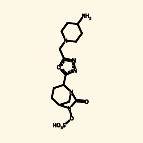 NC1CCN(Cc2nnc(C3CCC4CN3C(=O)N4OS(=O)(=O)O)o2)CC1